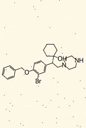 OC1(C(CN2CCNCC2)c2ccc(OCc3ccccc3)c(Br)c2)CCCCC1